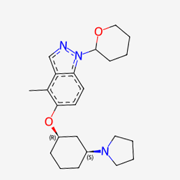 Cc1c(O[C@@H]2CCC[C@H](N3CCCC3)C2)ccc2c1cnn2C1CCCCO1